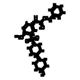 COc1ccc(NC(=O)OCc2ccccc2)cc1S(=O)(=O)N1CCC(N2CCC(C)CC2)CC1